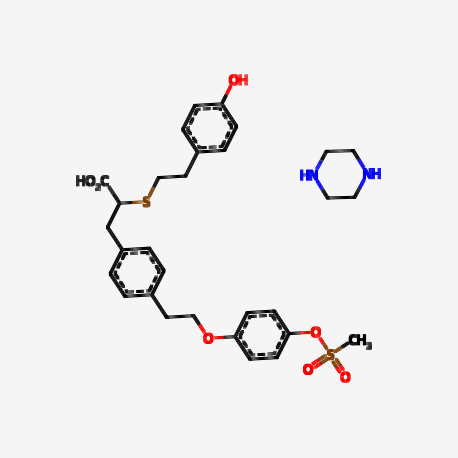 C1CNCCN1.CS(=O)(=O)Oc1ccc(OCCc2ccc(CC(SCCc3ccc(O)cc3)C(=O)O)cc2)cc1